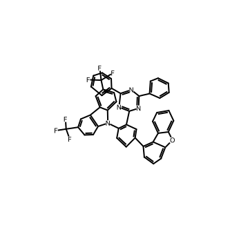 FC(F)(F)c1ccc2c(c1)c1cc(C(F)(F)F)ccc1n2-c1ccc(-c2cccc3oc4ccccc4c23)cc1-c1nc(-c2ccccc2)nc(-c2ccccc2)n1